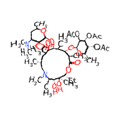 CC[C@H]1OC(=O)[C@H](C)[C@@H](O[C@@H]2O[C@@H](C)[C@@H](OC(C)=O)[C@@H](OC(C)=O)[C@@H]2OC(C)=O)[C@H](C)[C@@H](O[C@@H]2O[C@H](C)C[C@H](N(C)C)[C@H]2O)[C@](C)(O)C[C@@H](C)CN(C)[C@H](C)[C@@H](O)[C@]1(C)O